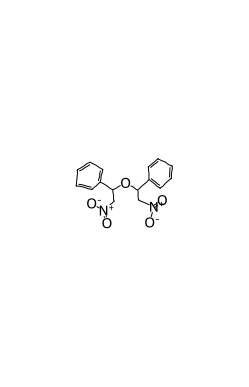 O=[N+]([O-])CC(OC(C[N+](=O)[O-])c1ccccc1)c1ccccc1